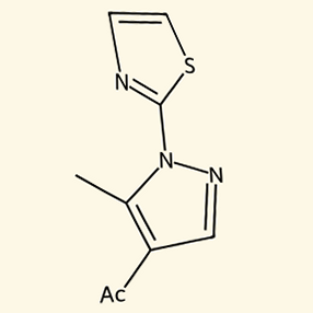 CC(=O)c1cnn(-c2nccs2)c1C